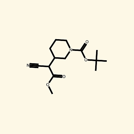 COC(=O)C(C#N)C1CCCN(C(=O)OC(C)(C)C)C1